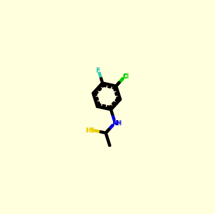 CC(S)Nc1ccc(F)c(Cl)c1